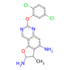 CC1c2c(N)cc3nc(Oc4cc(Cl)ccc4Cl)ncc3c2OC1N